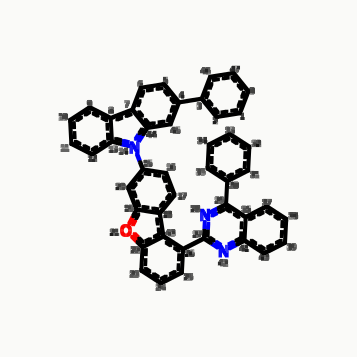 c1ccc(-c2ccc3c4ccccc4n(-c4ccc5c(c4)oc4cccc(-c6nc(-c7ccccc7)c7ccccc7n6)c45)c3c2)cc1